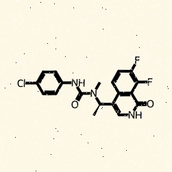 C[C@H](c1c[nH]c(=O)c2c(F)c(F)ccc12)N(C)C(=O)Nc1ccc(Cl)cc1